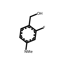 CNc1ccc(CO)c(F)c1